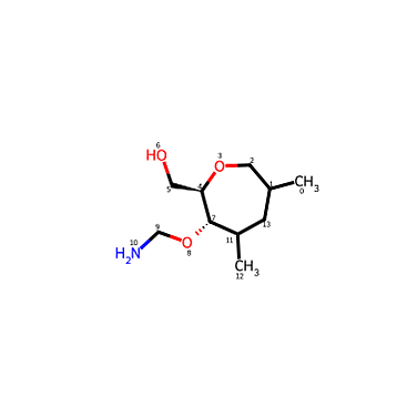 CC1CO[C@H](CO)[C@@H](OCN)C(C)C1